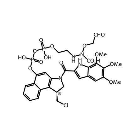 COc1cc2cc(C(=O)N3C[C@@H](CCl)c4c3cc(OP(=O)(O)OP(=O)(O)OCCNN(OCC=O)C(=O)O)c3ccccc43)[nH]c2c(OC)c1OC